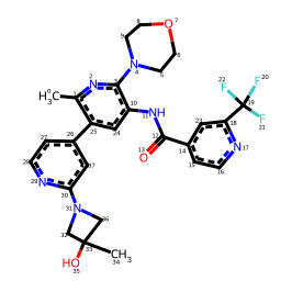 Cc1nc(N2CCOCC2)c(NC(=O)c2ccnc(C(F)(F)F)c2)cc1-c1ccnc(N2CC(C)(O)C2)c1